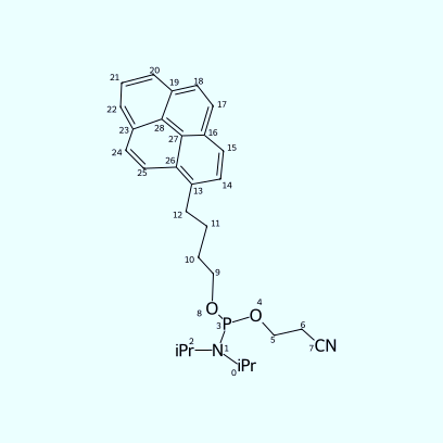 CC(C)N(C(C)C)P(OCCC#N)OCCCCc1ccc2ccc3cccc4ccc1c2c34